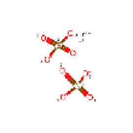 O=S(=O)([O-])[O-].O=S(=O)([O-])[O-].[Ir+4]